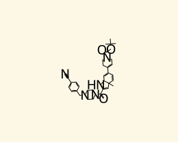 CC(C)(C)OC(=O)N1CC=C(C2=CC3NC(C(=O)N4CCN(Cc5ccc(C#N)cc5)CC4)=CC3(C)C=C2)CC1